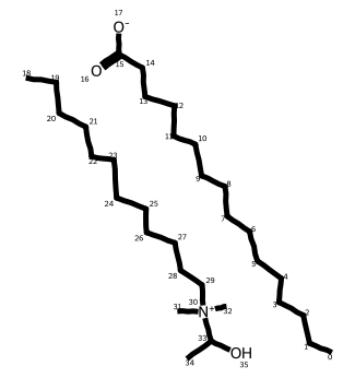 CCCCCCCCCCCCCCCC(=O)[O-].CCCCCCCCCCCC[N+](C)(C)C(C)O